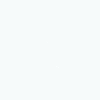 O=C1Nc2c(C3CC3)cc([N+](=O)[O-])cc2C12CCCC2